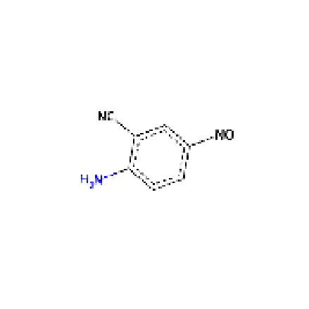 N#Cc1cc(N=O)ccc1N